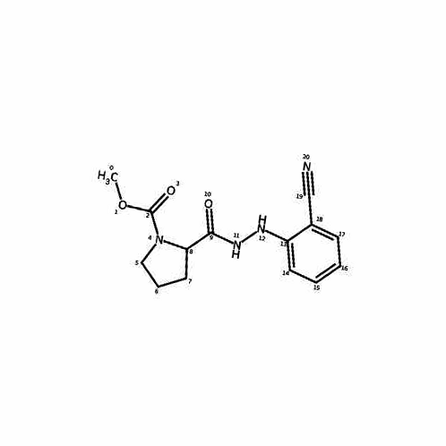 COC(=O)N1CCCC1C(=O)NNc1ccccc1C#N